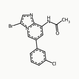 CC(=O)Nc1cc(-c2cccc(Cl)c2)cn2c(Br)cnc12